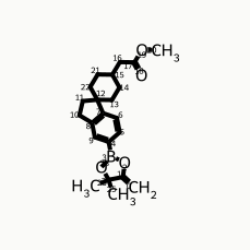 C=C1OB(c2ccc3c(c2)CCC32CCC(CC(=O)OC)CC2)OC1(C)C